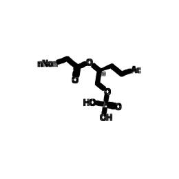 CCCCCCCCCCC(=O)O[C@@H](CCC(C)=O)COP(=O)(O)O